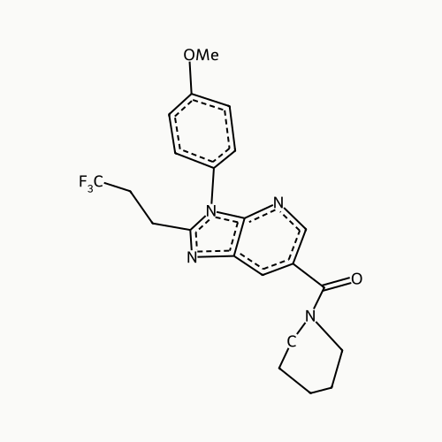 COc1ccc(-n2c(CCC(F)(F)F)nc3cc(C(=O)N4CCCCC4)cnc32)cc1